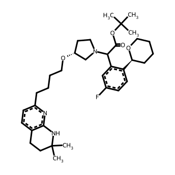 CC1(C)CCc2ccc(CCCCO[C@@H]3CCN(C(C(=O)OC(C)(C)C)c4cc(F)ccc4[C@@H]4CCCCO4)C3)nc2N1